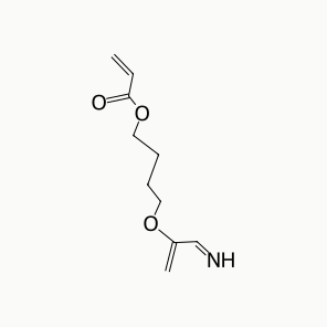 C=CC(=O)OCCCCOC(=C)C=N